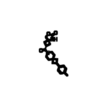 Cc1ccc(C2CC3(CCN(C(=O)[C@H]4C[C@]5(COC(=O)N5)C4)CC3)C2)cc1